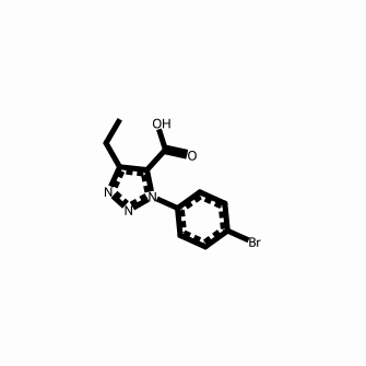 CCc1nnn(-c2ccc(Br)cc2)c1C(=O)O